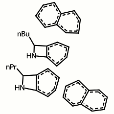 CCCC1Nc2ccccc21.CCCCC1Nc2ccccc21.c1ccc2ccccc2c1.c1ccc2ccccc2c1